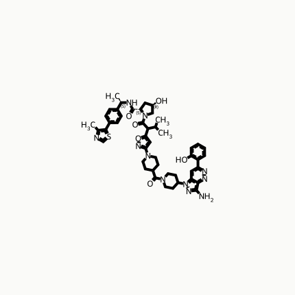 Cc1ncsc1-c1ccc([C@H](C)NC(=O)[C@@H]2C[C@@H](O)CN2C(=O)C(c2cc(N3CCC(C(=O)N4CCC(n5nc(N)c6nnc(-c7ccccc7O)cc65)CC4)CC3)no2)C(C)C)cc1